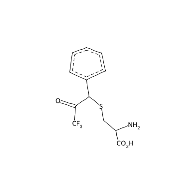 NC(CSC(C(=O)C(F)(F)F)c1ccccc1)C(=O)O